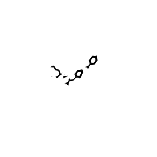 O=C(O)CCC(NC(=O)NC(Cc1ccc(OC(=O)c2ccc(F)cc2)cc1)C(=O)O)C(=O)O